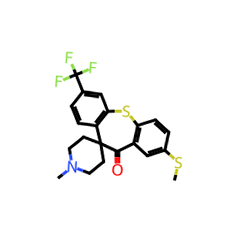 CSc1ccc2c(c1)C(=O)C1(CCN(C)CC1)c1ccc(C(F)(F)F)cc1S2